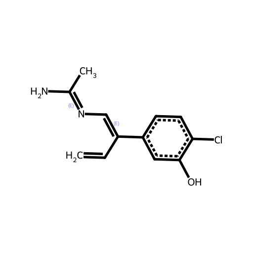 C=C/C(=C\N=C(/C)N)c1ccc(Cl)c(O)c1